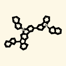 c1ccc2c(c1)-c1cc3c4cc(-c5ccc6c(c5)c5ccccc5n6-c5ccc6ccccc6c5)ccc4n(-c4ccc5ccccc5c4)c3cc1C2c1ccc2ccccc2c1